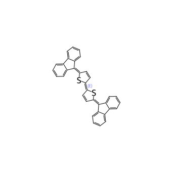 c1ccc2c(c1)C(=c1cc/c(=c3/ccc(=C4c5ccccc5-c5ccccc54)s3)s1)c1ccccc1-2